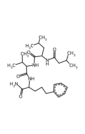 CC(C)CC(=O)NC(CC(C)C)C(=O)NC(C(=O)NC(CCCc1ccccc1)C(N)=O)C(C)C